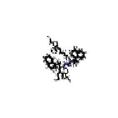 CCCC(C(=O)OCC)[N+]1=C(/C=C/C=C2\N(CCCCC(=O)OCC)c3ccc4ccccc4c3C2(C)C)C(C)(C)c2c1ccc1ccccc21